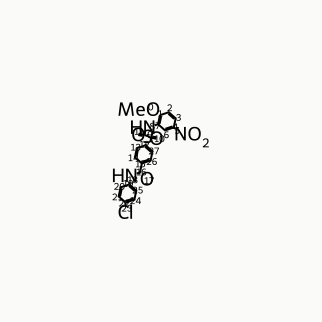 COc1ccc([N+](=O)[O-])cc1NS(=O)(=O)c1ccc(C(=O)Nc2ccc(Cl)cc2)cc1